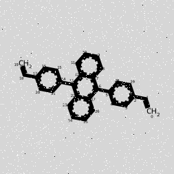 C=Cc1ccc(-c2c3ccccc3c(-c3ccc(C=C)cc3)c3ccccc23)cc1